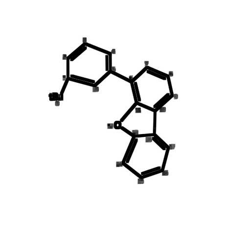 CC(C)(C)c1cccc(-c2cccc3c2oc2ccccc23)c1